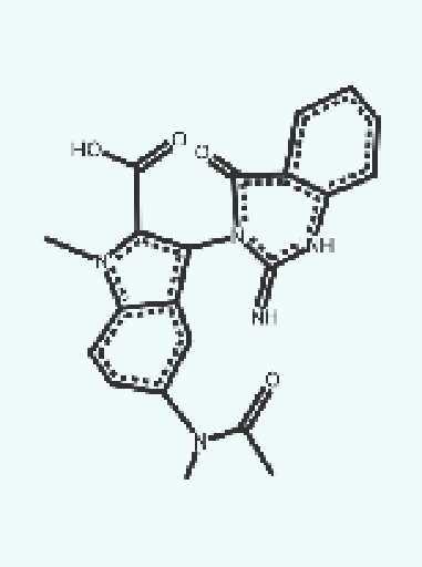 CC(=O)N(C)c1ccc2c(c1)c(-n1c(=N)[nH]c3ccccc3c1=O)c(C(=O)O)n2C